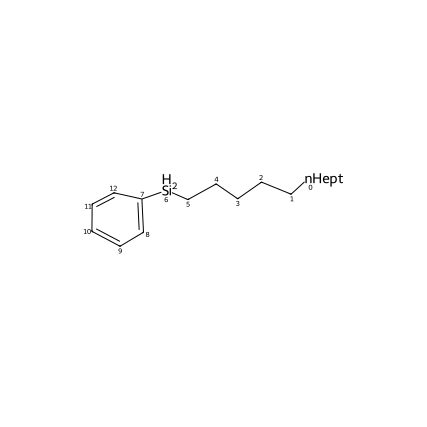 CCCCCCCCCCCC[SiH2]c1ccccc1